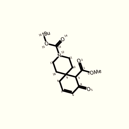 COC(=O)C1C(=O)C=CCC12CCN(C(=O)OC(C)(C)C)CC2